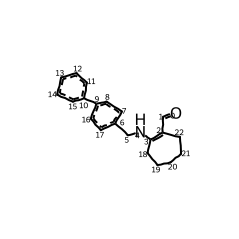 O=CC1=C(NCc2ccc(-c3ccccc3)cc2)CCCCC1